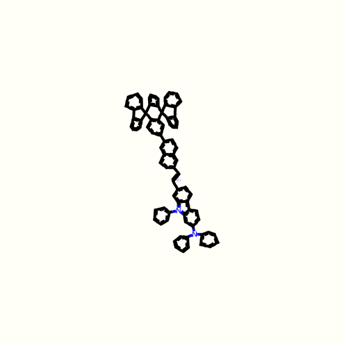 C(=C\c1ccc2c3ccc(N(c4ccccc4)c4ccccc4)cc3n(-c3ccccc3)c2c1)/c1ccc2cc(-c3ccc4c(c3)C3(c5ccccc5-c5ccccc53)c3ccccc3C43c4ccccc4-c4ccccc43)ccc2c1